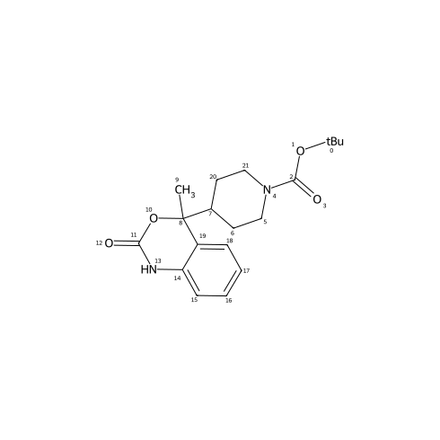 CC(C)(C)OC(=O)N1CCC(C2(C)OC(=O)Nc3ccccc32)CC1